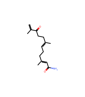 C=C(C)C(=O)CCC(C)=CCCC(C)=CC(N)=O